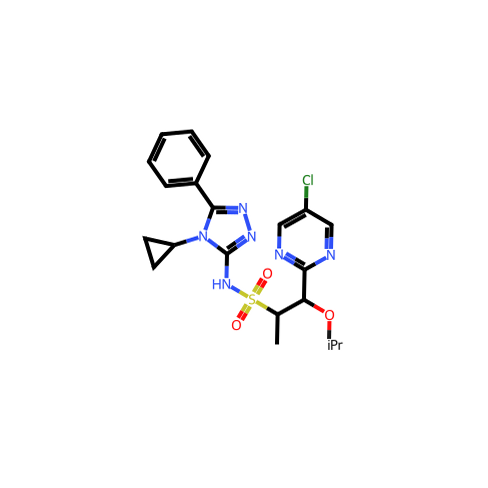 CC(C)OC(c1ncc(Cl)cn1)C(C)S(=O)(=O)Nc1nnc(-c2ccccc2)n1C1CC1